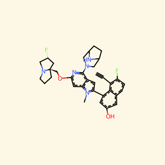 C#Cc1c(F)ccc2cc(O)cc(-c3cc4c(N5CC6CCC(C5)N6)nc(OC[C@@]56CCCN5C[C@H](F)C6)cc4n3C)c12